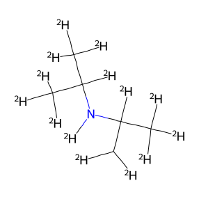 [2H]C([2H])C([2H])(N([2H])C([2H])(C([2H])([2H])[2H])C([2H])([2H])[2H])C([2H])([2H])[2H]